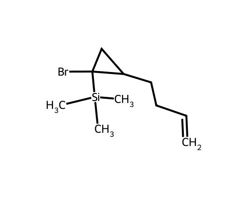 C=CCCC1CC1(Br)[Si](C)(C)C